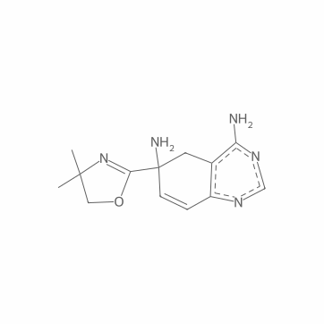 CC1(C)COC(C2(N)C=Cc3ncnc(N)c3C2)=N1